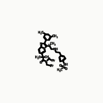 Cc1cc(C)cc(-c2nc3ccc(C(C)(C)C(=O)N(CC(C)C)CC(C)C)cn3c2[C@H](C)CNCCc2ccc(NS(C)(=O)=O)cc2)c1